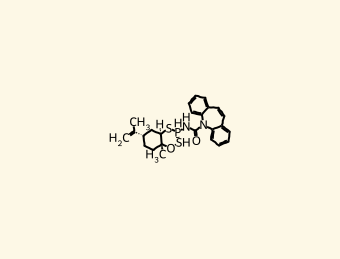 C=C(C)[C@H]1CC[C@@]2(C)O[SH]=[PH](NC(=O)N3c4ccccc4C=Cc4ccccc43)S[C@@H]2C1